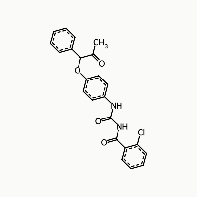 CC(=O)C(Oc1ccc(NC(=O)NC(=O)c2ccccc2Cl)cc1)c1ccccc1